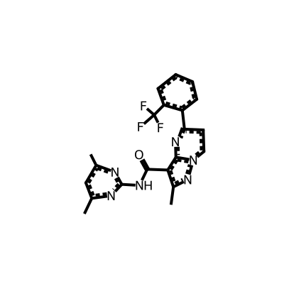 Cc1cc(C)nc(NC(=O)c2c(C)nn3ccc(-c4ccccc4C(F)(F)F)nc23)n1